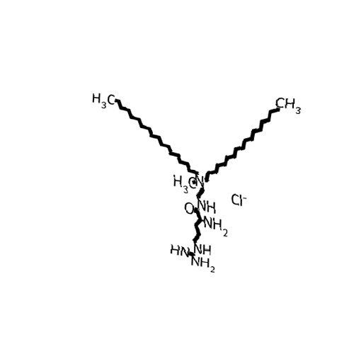 CCCCCCCCCCCCCCCCCC[N+](C)(CCCCCCCCCCCCCCCCCC)CCNC(=O)[C@@H](N)CCCNC(=N)N.[Cl-]